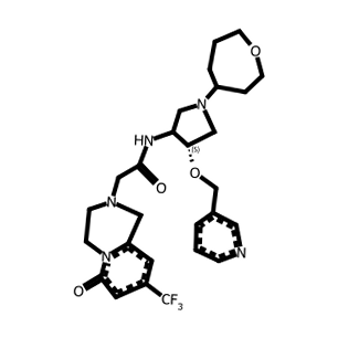 O=C(CN1CCn2c(cc(C(F)(F)F)cc2=O)C1)NC1CN(C2CCCOCC2)C[C@@H]1OCc1cccnc1